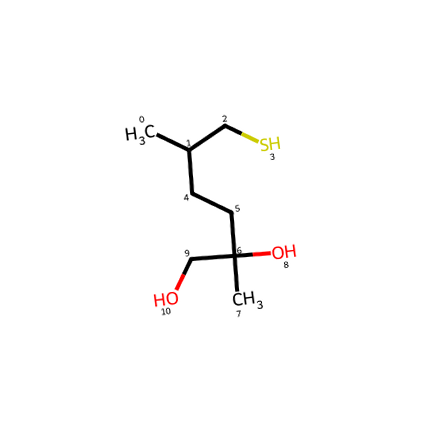 CC(CS)CCC(C)(O)CO